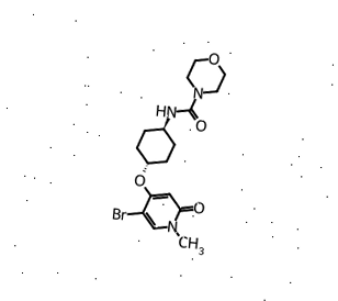 Cn1cc(Br)c(O[C@H]2CC[C@H](NC(=O)N3CCOCC3)CC2)cc1=O